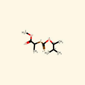 COC(=O)C(C)SC(=S)OC(C)C(C)C